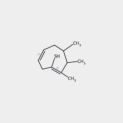 C/C1=C(/S)C/C=C\CC(C)C1C